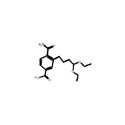 CCOC(CCCc1cc(C(N)=O)ccc1C(N)=O)OCC